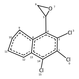 Clc1c(Cl)c(C2CO2)c2ccccc2c1Cl